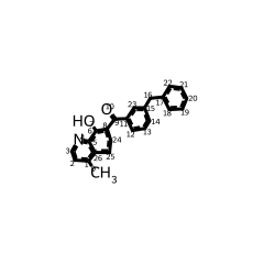 Cc1ccnc2c(O)c(C(=O)c3cccc(Cc4ccccc4)c3)ccc12